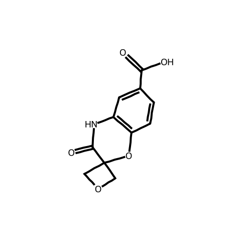 O=C(O)c1ccc2c(c1)NC(=O)C1(COC1)O2